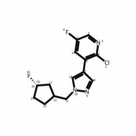 Fc1cnc(Cl)c(-c2cnn(CC3CC[C@H](F)C3)c2)c1